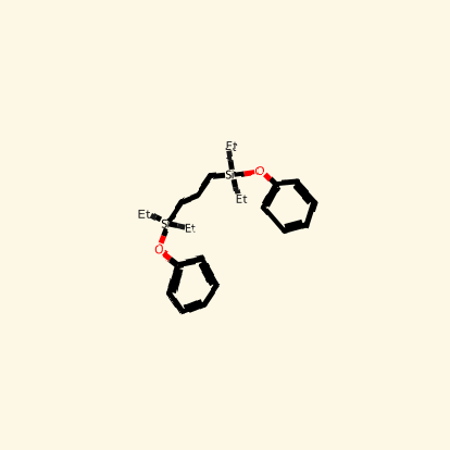 CC[Si](CC)(CCC[Si](CC)(CC)Oc1ccccc1)Oc1ccccc1